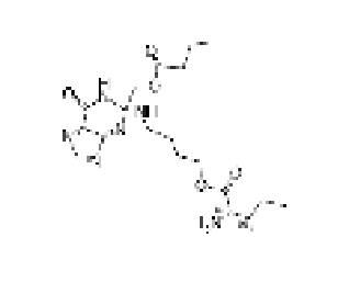 CCCC(=O)OCC1(NCCCCOC(=O)[C@@H](N)[C@@H](C)CC)N=C2N=CN=C2C(=O)N1